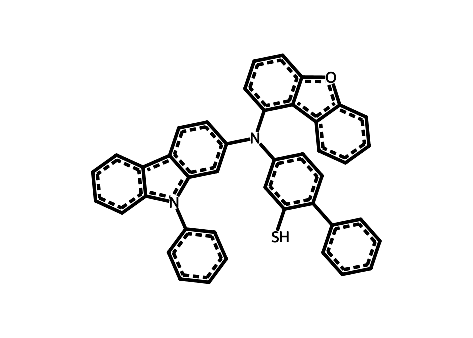 Sc1cc(N(c2ccc3c4ccccc4n(-c4ccccc4)c3c2)c2cccc3oc4ccccc4c23)ccc1-c1ccccc1